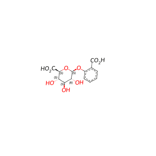 O=C(O)c1ccccc1O[C@@H]1O[C@H](C(=O)O)[C@@H](O)[C@H](O)[C@H]1O